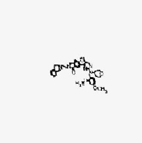 COc1ccc(CN(c2ncc(Cl)c(-c3ccc4c(c3)C(=O)N(CCN3CCc5ccccc5C3)C4)n2)C2CCOCC2)c(OC)c1